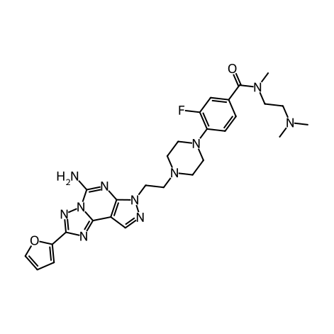 CN(C)CCN(C)C(=O)c1ccc(N2CCN(CCn3ncc4c3nc(N)n3nc(-c5ccco5)nc43)CC2)c(F)c1